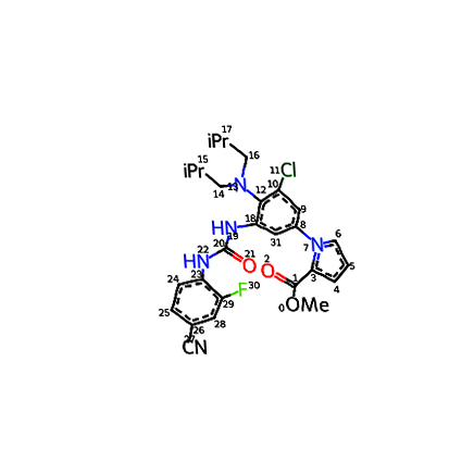 COC(=O)c1cccn1-c1cc(Cl)c(N(CC(C)C)CC(C)C)c(NC(=O)Nc2ccc(C#N)cc2F)c1